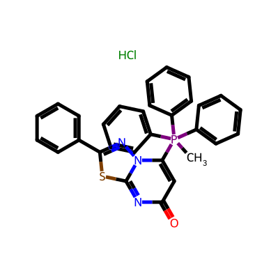 CP(c1ccccc1)(c1ccccc1)(c1ccccc1)c1cc(=O)nc2sc(-c3ccccc3)nn12.Cl